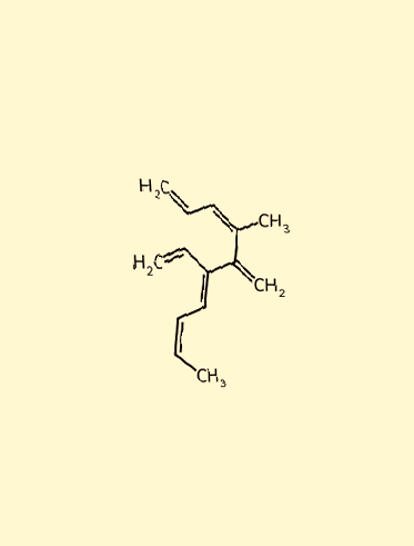 C=C/C=C(/C)C(=C)/C(C=C)=C/C=C\C